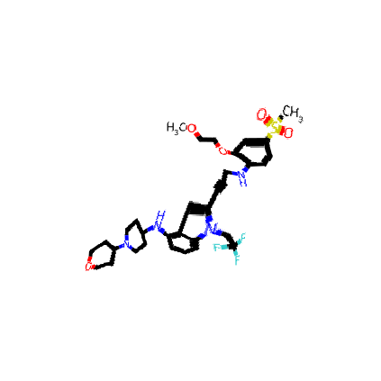 COCCOc1cc(S(C)(=O)=O)ccc1NCC#Cc1cc2c(NC3CCN(C4CCOCC4)CC3)cccc2n1CC(F)(F)F